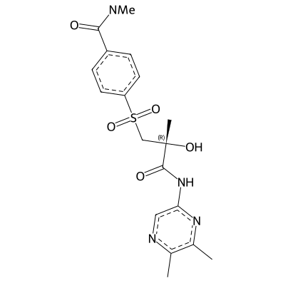 CNC(=O)c1ccc(S(=O)(=O)C[C@](C)(O)C(=O)Nc2cnc(C)c(C)n2)cc1